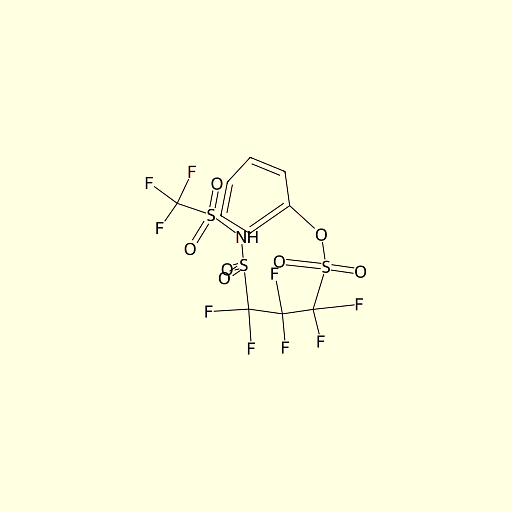 O=S(=O)(NS(=O)(=O)C(F)(F)C(F)(F)C(F)(F)S(=O)(=O)Oc1ccccc1)C(F)(F)F